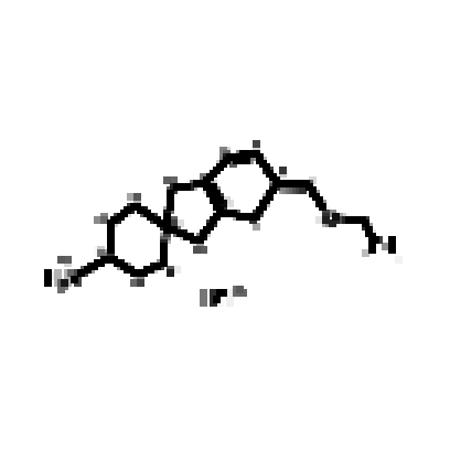 CCOC=C1C=CC2=C(C1)CC1(CCC(N)CC1)C2.Cl